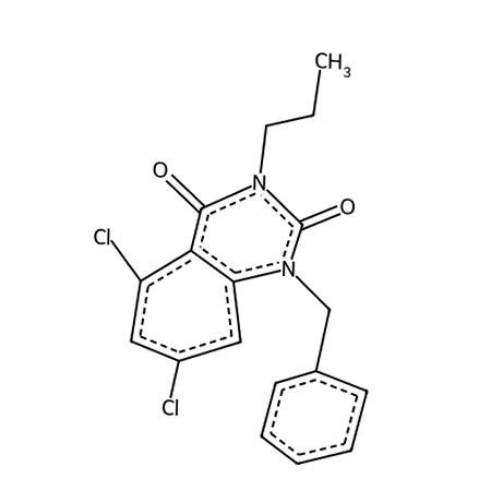 CCCn1c(=O)c2c(Cl)cc(Cl)cc2n(Cc2ccccc2)c1=O